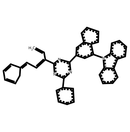 C=C/C(=C\C=C1\C=CC=CC1)c1nc(-c2ccccc2)nc(-c2cc(-n3c4ccccc4c4ccccc43)c3ccccc3c2)n1